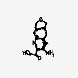 Nc1cc2cc3c(cc2nc1C(=O)O)COC3